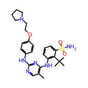 Cc1cnc(Nc2ccc(OCCN3CCCC3)cc2)nc1Nc1cccc(S(N)(=O)=O)c1C(C)(C)C